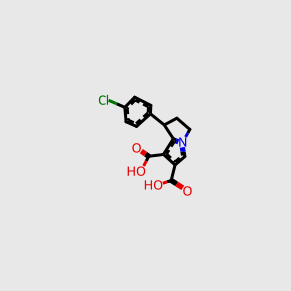 O=C(O)c1cn2c(c1C(=O)O)C(c1ccc(Cl)cc1)CC2